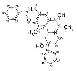 Cc1cc(C(O)C(C)N2CCC(O)(c3ccccc3)CC2)cc(C)c1OCc1ccccc1